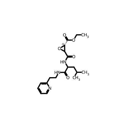 CCOC(=O)[C@H]1OC1C(=O)NC(CC(C)C)C(=O)NCCc1ccccn1